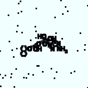 Nc1ncnc2c1ncn2[C@@H]1O[C@H](COC[C@@H](O)COc2cccc3ccccc23)[C@@H](O)[C@H]1O